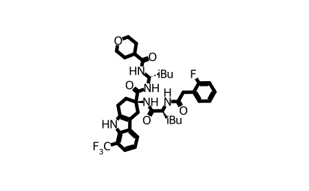 CCC(C)[C@@H](NC(=O)C1CCOCC1)NC(=O)[C@@]1(NC(=O)[C@@H](NC(=O)Cc2ccccc2F)C(C)CC)CCc2[nH]c3c(C(F)(F)F)cccc3c2C1